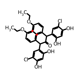 CCOc1ccc(C(C(=O)C(c2ccc(OCC)cc2)c2cc(Cl)c(O)cc2O)c2cc(Cl)c(O)cc2O)cc1